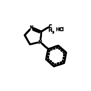 CC1=NCCN1c1ccccc1.Cl